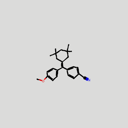 COc1ccc(C(=C2CC(C)(C)CC(C)(C)C2)c2ccc(C#N)cc2)cc1